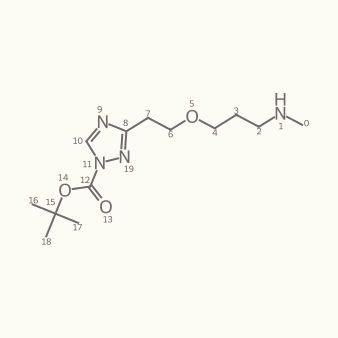 CNCCCOCCc1ncn(C(=O)OC(C)(C)C)n1